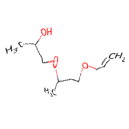 C=COCC(C)OCC(C)O